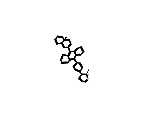 C[C@H]1N=CC=CC1c1ccc(-c2c3ccccc3c(C3=CCC4(C)C=CC=CC4=C3)c3ccccc23)cc1